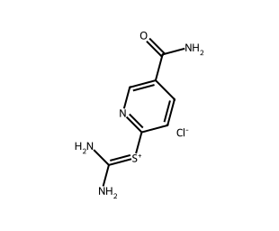 NC(=O)c1ccc([S+]=C(N)N)nc1.[Cl-]